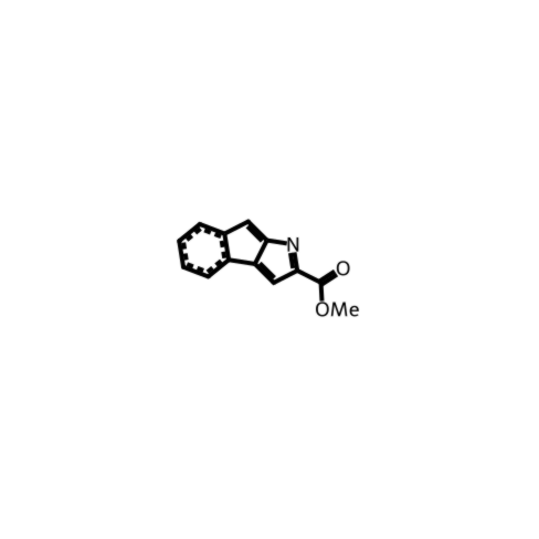 COC(=O)C1=NC2=Cc3ccccc3C2=C1